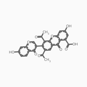 CC(=O)c1cc2c(=O)c3c(C(=O)O)cc(O)cc3oc2c(C(C)=O)c1-c1coc2cc(O)ccc2c1=O